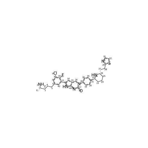 C[C@H](N)CCCc1cc(Cl)c(F)c(-c2cc3cn(-c4ccc([C@@H]5CCC[C@@H](CCc6nccs6)N5)cc4)c(=O)nc3[nH]2)c1